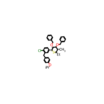 CC[C@H]1S[C@@H](c2ccc(Cl)c(Cc3ccc(OC(C)C)cc3)c2)[C@H](OCc2ccccc2)[C@@H](OCc2ccccc2)[C@@H]1C